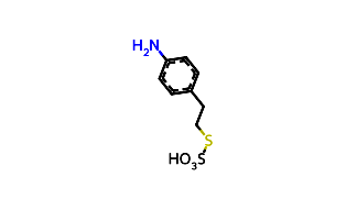 Nc1ccc(CCSS(=O)(=O)O)cc1